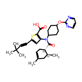 CC1=CC[C@H](C(=O)N(c2cc(C#CC(C)(C)C)sc2C(=O)O)C2CCC(Oc3ncccn3)CC2)[C@@H](C)C1